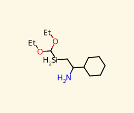 CCOC(OCC)[SiH2]C[C](N)C1CCCCC1